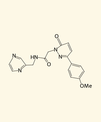 COc1ccc(-c2ccc(=O)n(CC(=O)NCc3cnccn3)n2)cc1